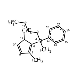 CCCC[Si](C)(C1=C(C)C=CC1C)c1ccccc1